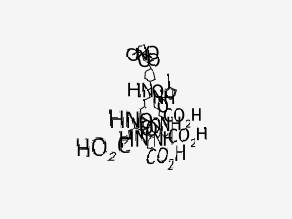 O=C(O)CC[C@@H](NC(=O)CCCCNC(=O)C1CCC(C(=O)ON2C(=O)CCC2=O)CC1)C(=O)N[C@H](CCC(=O)O)C(=O)N[C@H](CCC(=O)O)C(=O)N[C@H](CCCCNC(=O)c1cccc(I)c1)C(=O)O